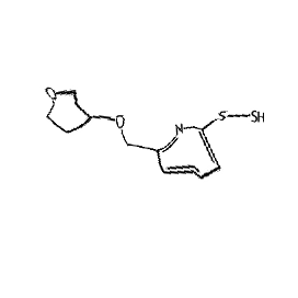 SSc1cccc(COC2CCOC2)n1